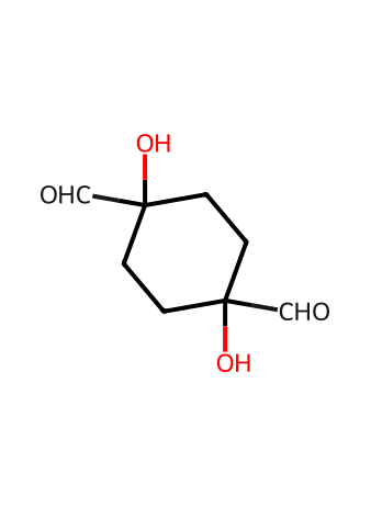 O=CC1(O)CCC(O)(C=O)CC1